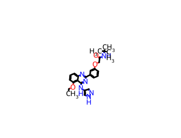 CCOc1cccc2nc(-c3cccc(OCC(=O)NC(C)(C)C)c3)nc(Nc3cn[nH]c3)c12